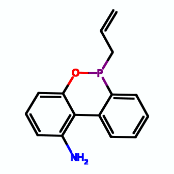 C=CCP1Oc2cccc(N)c2-c2ccccc21